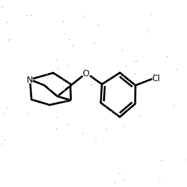 Clc1cccc(OC2CN3CCC2CC3)c1